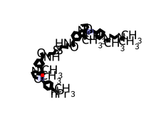 CCCN(C)c1ccc(/C=C/C23OCCN2c2ccc(C(=O)NCCSSCCNC(=O)c4ccc5c(c4)C(C)(C)C4(/C=C/c6ccc(N(C)CCCN(C)C)cc6)OCCN54)cc2C3(C)C)cc1